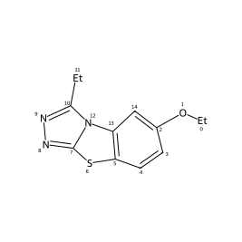 CCOc1ccc2sc3nnc(CC)n3c2c1